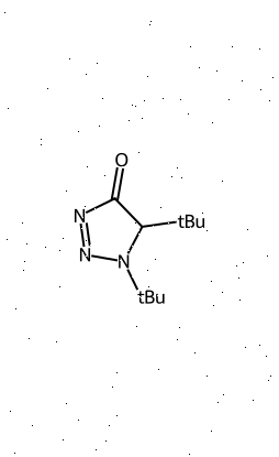 CC(C)(C)C1C(=O)N=NN1C(C)(C)C